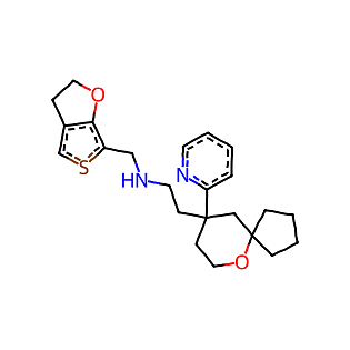 c1ccc(C2(CCNCc3scc4c3OCC4)CCOC3(CCCC3)C2)nc1